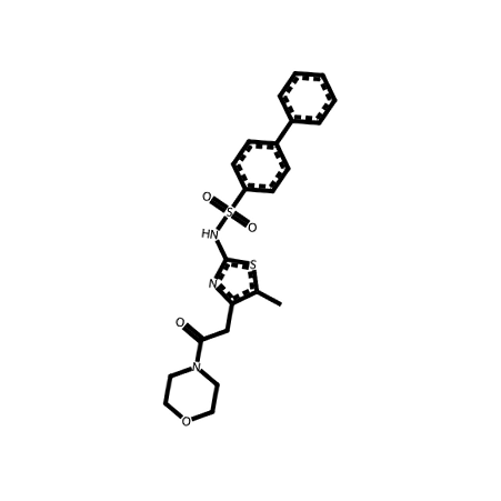 Cc1sc(NS(=O)(=O)c2ccc(-c3ccccc3)cc2)nc1CC(=O)N1CCOCC1